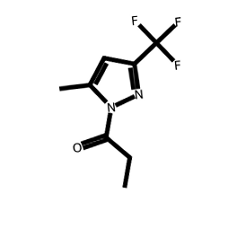 CCC(=O)n1nc(C(F)(F)F)cc1C